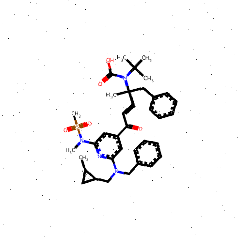 CC1CC1CN(Cc1ccccc1)c1cc(C(=O)C=CC(C)(Cc2ccccc2)N(C(=O)O)C(C)(C)C)cc(N(C)S(C)(=O)=O)n1